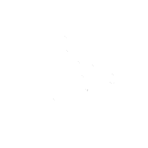 N#CCN1CCN(c2nc(Nc3ccc(N4CCC(C(O)O)CC4)cc3)c3c(=O)[nH]ncc3n2)CC1